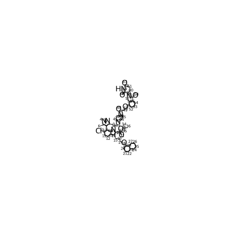 Cc1nn(C)c(C)c1-c1c(Cl)ccc2c(CCCOc3cccc4ccccc34)c(C(=O)OC(C)(C)C)n(CCN3CC4CC3CN4C(=O)COc3cccc4c3CN(C3CCC(=O)NC3=O)C4=O)c12